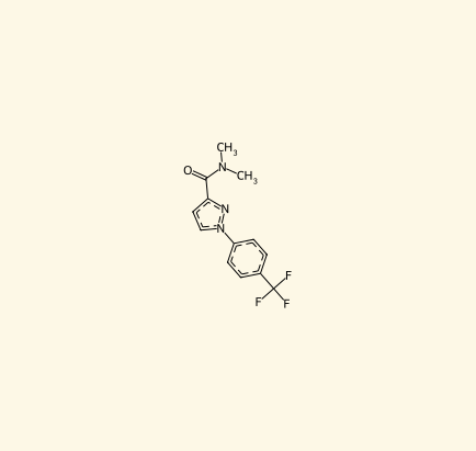 CN(C)C(=O)c1ccn(-c2ccc(C(F)(F)F)cc2)n1